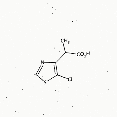 CC(C(=O)O)c1n[c]sc1Cl